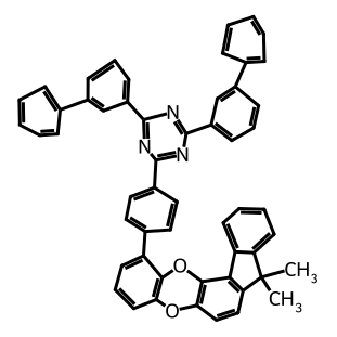 CC1(C)c2ccccc2-c2c1ccc1c2Oc2c(cccc2-c2ccc(-c3nc(-c4cccc(-c5ccccc5)c4)nc(-c4cccc(-c5ccccc5)c4)n3)cc2)O1